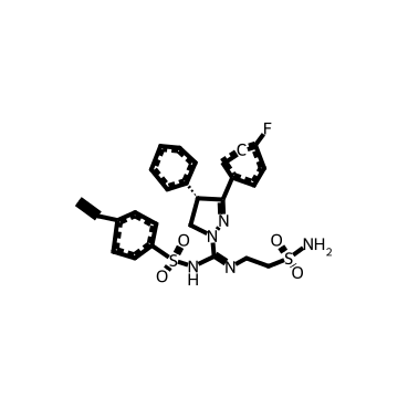 C#Cc1ccc(S(=O)(=O)NC(=NCCS(N)(=O)=O)N2C[C@H](c3ccccc3)C(c3ccc(F)cc3)=N2)cc1